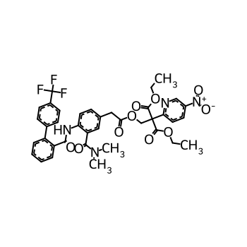 CCOC(=O)C(COC(=O)Cc1ccc(NC(=O)c2ccccc2-c2ccc(C(F)(F)F)cc2)c(C(=O)N(C)C)c1)(C(=O)OCC)c1ccc([N+](=O)[O-])cn1